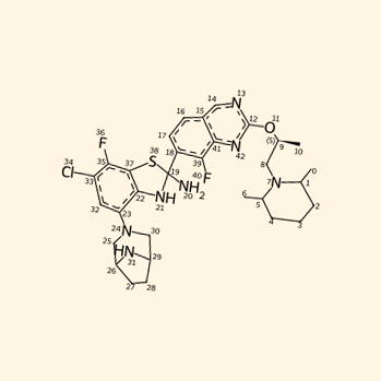 CC1CCCC(C)N1C[C@H](C)Oc1ncc2ccc(C3(N)Nc4c(N5CC6CCC(C5)N6)cc(Cl)c(F)c4S3)c(F)c2n1